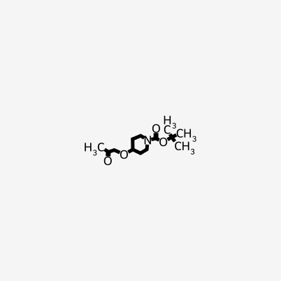 CC(=O)COC1CCN(C(=O)OC(C)(C)C)CC1